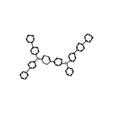 C1=C(c2ccc(N(c3ccccc3)c3ccc(-c4ccc(-c5ccccc5)cc4)cc3)cc2)CCC(N(c2ccc(-c3ccccc3)cc2)c2ccc(-c3ccccc3)cc2)=C1